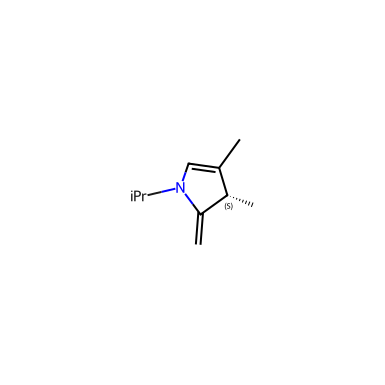 C=C1[C@@H](C)C(C)=CN1C(C)C